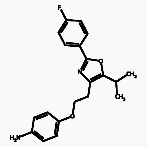 CC(C)c1oc(-c2ccc(F)cc2)nc1CCOc1ccc(N)cc1